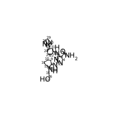 NC(=O)c1cnc(N[C@@H]2CCCC[C@@H]2NCCO)nc1Nc1cccc(-n2nccn2)c1